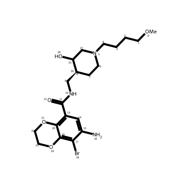 COCCCCN1CC[C@@H](CNC(=O)c2cc(N)c(Br)c3c2OCCO3)C(O)C1